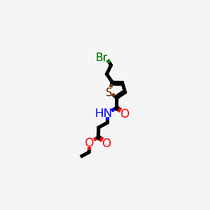 CCOC(=O)CCNC(=O)c1ccc(CCBr)s1